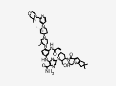 C=CC(=O)Nc1cc(Nc2nc(N3CCCC(N4CCn5c(cc6c5CC(C)(C)C6)C4=O)C3CO)cnc2C(N)=O)ccc1N1CCN(C2CCN(c3ccnc(N4CCOC[C@@H]4C)c3)[C@@H](C)C2)C[C@@H]1C